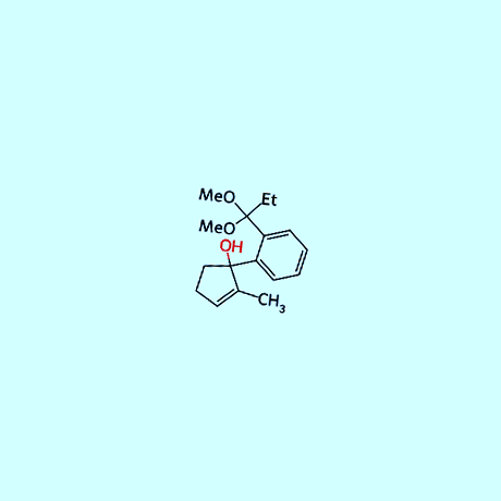 CCC(OC)(OC)c1ccccc1C1(O)CCC=C1C